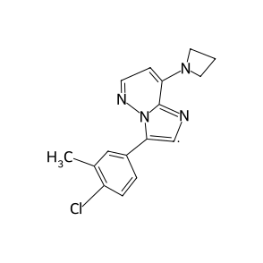 Cc1cc(-c2[c]nc3c(N4CCC4)ccnn23)ccc1Cl